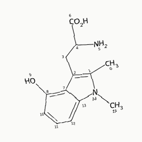 Cc1c(CC(N)C(=O)O)c2c(O)cccc2n1C